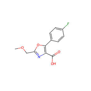 COCc1nc(C(=O)O)c(-c2ccc(F)cc2)o1